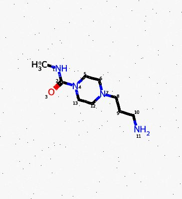 CNC(=O)N1CCN(CCCN)CC1